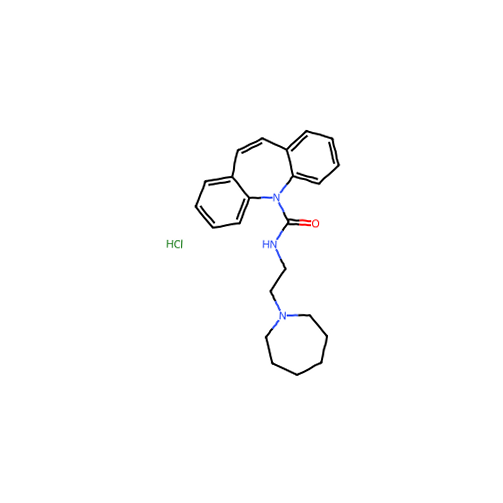 Cl.O=C(NCCN1CCCCCC1)N1c2ccccc2C=Cc2ccccc21